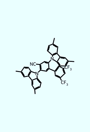 Cc1ccc2c(c1)c1cc(C)ccc1n2-c1cc(-c2cc(C(F)(F)F)cc(C(F)(F)F)c2)c(-n2c3ccc(C)cc3c3cc(C)ccc32)cc1C#N